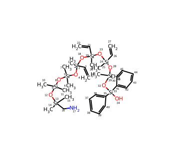 C=C[Si](C)(O[Si](C)(C)O[Si](C)(C)O[Si](C)(C)CN)O[Si](C)(C=C)O[Si](C)(C=C)O[Si](C)(C)O[Si](O)(c1ccccc1)c1ccccc1